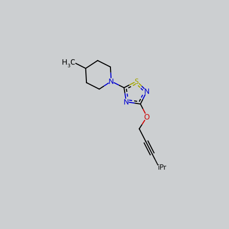 CC(C)C#CCOc1nsc(N2CCC(C)CC2)n1